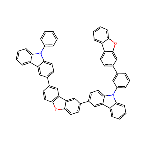 c1ccc(-n2c3ccccc3c3cc(-c4ccc5oc6ccc(-c7ccc8c(c7)c7ccccc7n8-c7cccc(-c8ccc9c(c8)oc8ccccc89)c7)cc6c5c4)ccc32)cc1